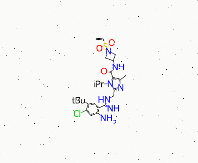 C=CS(=O)(=O)N1CC(NC(=O)c2c(C)nc(CNC(=N)c3cc(C(C)(C)C)c(Cl)cc3N)n2C(C)C)C1